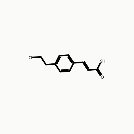 O=C(S)/C=C/c1ccc(CCCl)cc1